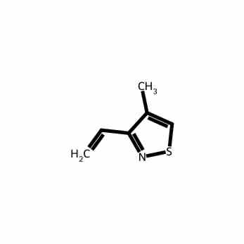 C=Cc1nscc1C